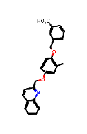 Cc1cc(OCc2ccc3ccccc3n2)ccc1OCc1cccc(C(=O)O)c1